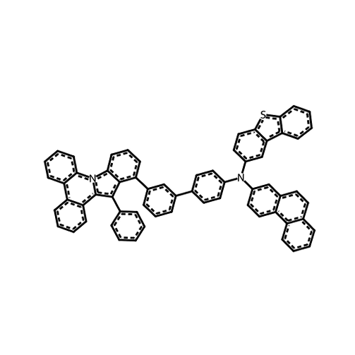 c1ccc(-c2c3c(-c4cccc(-c5ccc(N(c6ccc7c(ccc8ccccc87)c6)c6ccc7sc8ccccc8c7c6)cc5)c4)cccc3n3c4ccccc4c4ccccc4c23)cc1